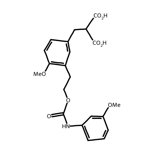 COc1cccc(NC(=O)OCCc2cc(CC(C(=O)O)C(=O)O)ccc2OC)c1